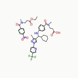 CCOC(=O)CCN(C)C(=O)c1ccc([N+](=O)[O-])cc1.Cc1nn(-c2ccc(C(F)(F)F)cn2)cc1C(Nc1ccc(C(=O)N(C)CCC(=O)O)cc1)C1CCCCC1